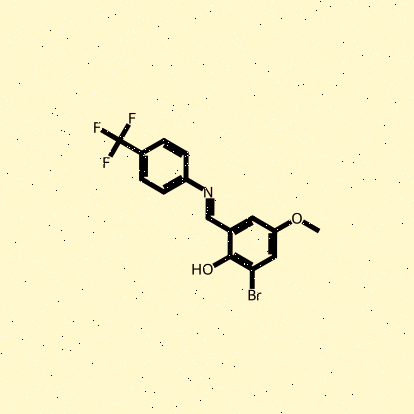 COc1cc(Br)c(O)c(/C=N/c2ccc(C(F)(F)F)cc2)c1